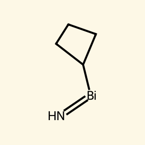 [NH]=[Bi][CH]1CCC1